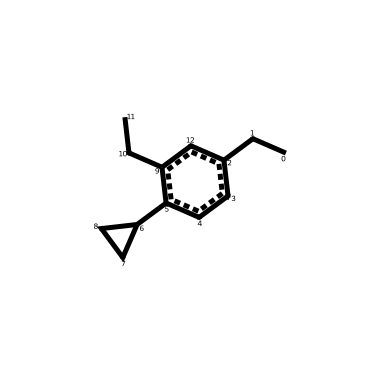 CCc1[c]cc(C2CC2)c(CC)c1